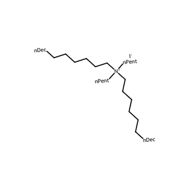 CCCCCCCCCCCCCCCC[N+](CCCCC)(CCCCC)CCCCCCCCCCCCCCCC.[I-]